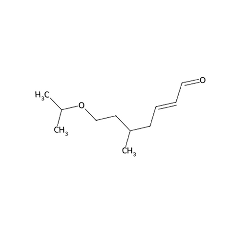 CC(C/C=C/C=O)CCOC(C)C